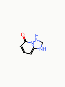 O=c1[c]ccc2n1NCN2